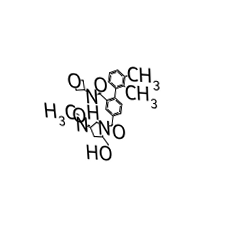 CO/N=C1/CC(CO)N(C(=O)c2ccc(-c3cccc(C)c3C)c(C(=O)NC3COC3)c2)C1